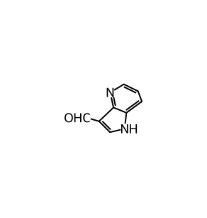 O=Cc1c[nH]c2cccnc12